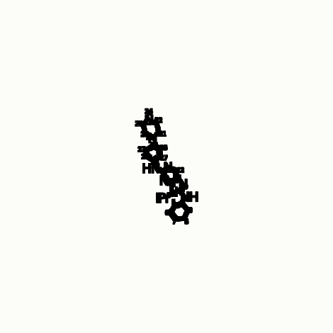 CC(C)n1c(NC2=CC=CCC2)nc2cnc(Nc3ccc(N4CCN(C)CC4)cc3)nc21